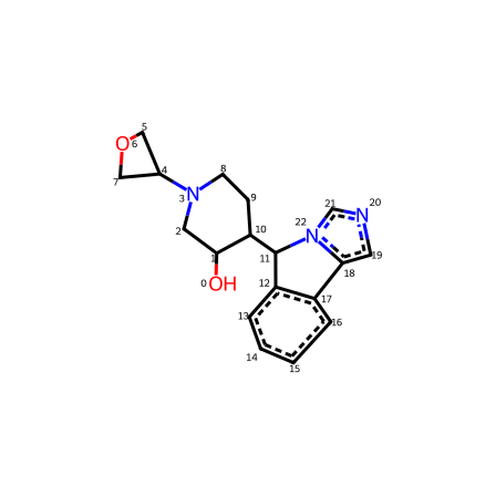 OC1CN(C2COC2)CCC1C1c2ccccc2-c2cncn21